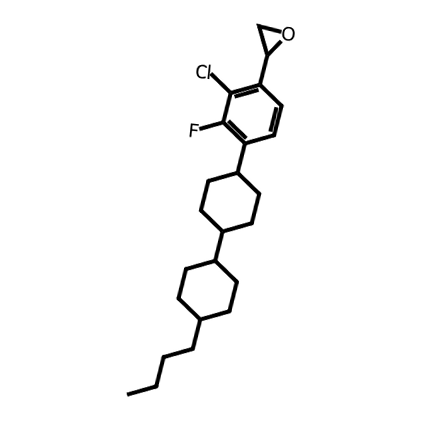 CCCCC1CCC(C2CCC(c3ccc(C4CO4)c(Cl)c3F)CC2)CC1